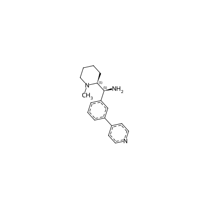 CN1CCCC[C@H]1[C@@H](N)c1cccc(-c2ccncc2)c1